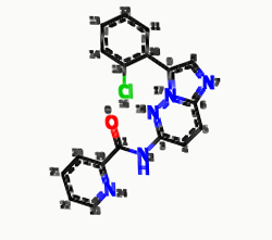 O=C(Nc1ccc2ncc(-c3ccccc3Cl)n2n1)c1ccccn1